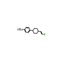 CCCCc1ccc(C2CCC(C=CF)CC2)cc1